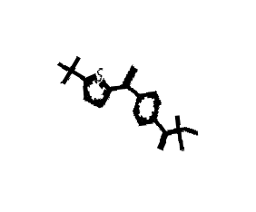 C=C(c1ccc(C(=C)C(C)(C)C)cc1)c1ccc(C(C)(C)C)s1